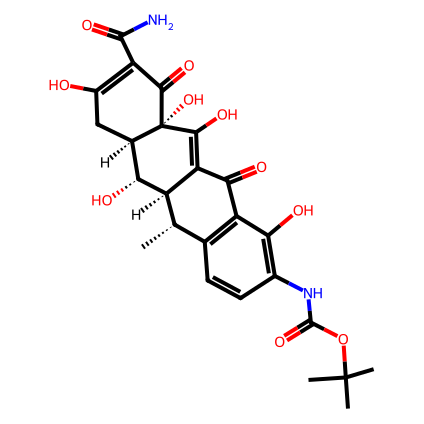 C[C@H]1c2ccc(NC(=O)OC(C)(C)C)c(O)c2C(=O)C2=C(O)[C@]3(O)C(=O)C(C(N)=O)=C(O)C[C@@H]3[C@@H](O)[C@@H]21